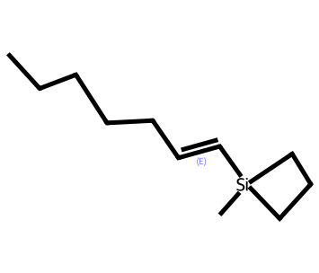 CCCCC/C=C/[Si]1(C)CCC1